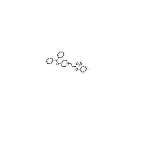 Cc1ccc(OCCCN2CCC(OC(c3ccccc3)c3ccccc3)CC2)c([N+](=O)[O-])c1